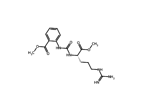 COC(=O)c1ccccc1NC(=O)N[C@@H](CCCNC(=N)N)C(=O)OC